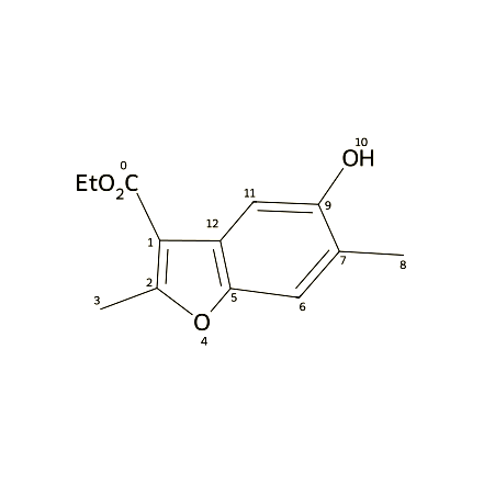 CCOC(=O)c1c(C)oc2cc(C)c(O)cc12